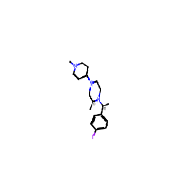 C[C@H]1CN(C2CCN(C)CC2)CCN1[C@@H](C)c1ccc(I)cc1